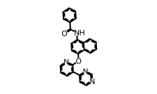 O=C(Nc1ccc(Oc2ncccc2-c2ccncn2)c2ccccc12)c1ccccc1